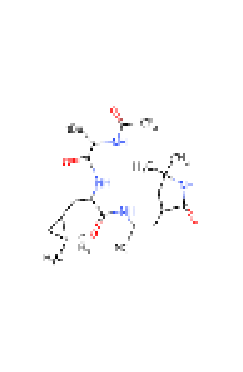 CC1(C)CC(CC(C#N)NC(=O)C(CC2CC2(C)C)NC(=O)C(NC(=O)C(F)(F)F)C(C)(C)C)C(=O)N1